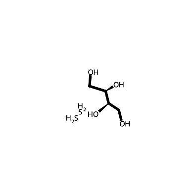 OC[C@@H](O)[C@H](O)CO.S.S